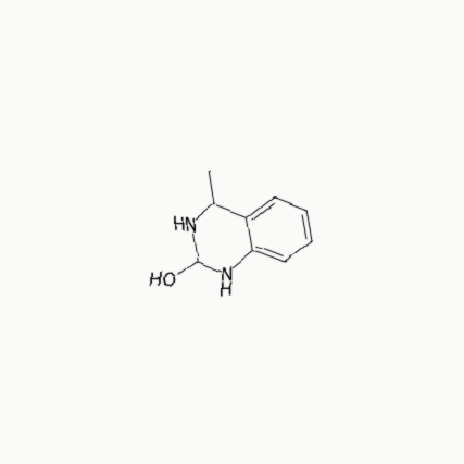 CC1NC(O)Nc2ccccc21